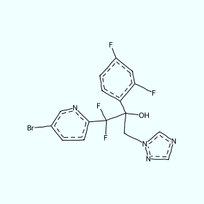 OC(Cn1cncn1)(c1ccc(F)cc1F)C(F)(F)c1ccc(Br)cn1